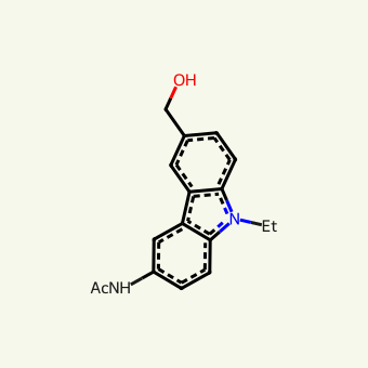 CCn1c2ccc(CO)cc2c2cc(NC(C)=O)ccc21